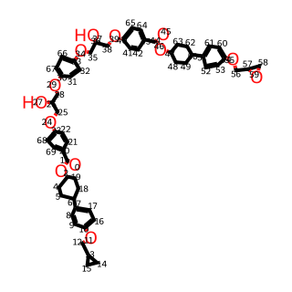 O=C(OC1CCC(c2ccc(OCC3CC3)cc2)CC1)c1ccc(OCC(O)COc2ccc(OCC(O)COc3ccc(C(=O)OC4CCC(c5ccc(OCC6CO6)cc5)CC4)cc3)cc2)cc1